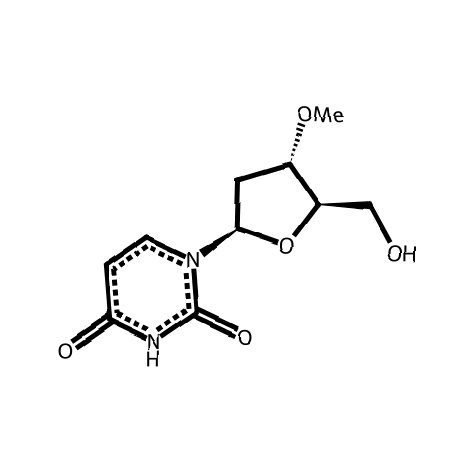 CO[C@H]1C[C@H](n2ccc(=O)[nH]c2=O)O[C@@H]1CO